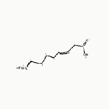 CCCCCCCCCC=CCS(=O)O